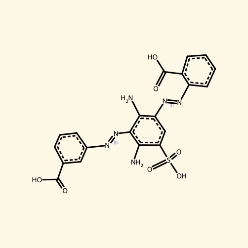 Nc1c(/N=N/c2ccccc2C(=O)O)cc(S(=O)(=O)O)c(N)c1/N=N/c1cccc(C(=O)O)c1